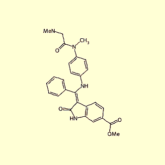 CNCC(=O)N(C)c1ccc(NC(=C2C(=O)Nc3cc(C(=O)OC)ccc32)c2ccccc2)cc1